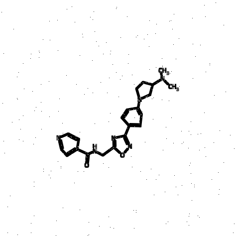 CN(C)C1CCN(c2ccc(-c3noc(CNC(=O)c4ccncc4)n3)cc2)C1